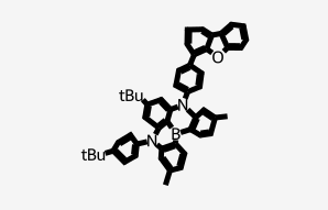 Cc1ccc2c(c1)N(c1ccc(-c3cccc4c3oc3ccccc34)cc1)c1cc(C(C)(C)C)cc3c1B2c1ccc(C)cc1N3c1ccc(C(C)(C)C)cc1